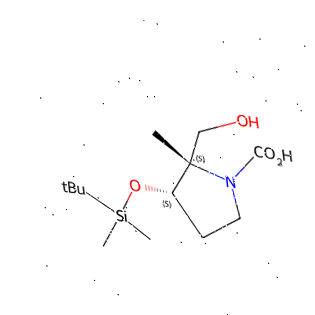 CC(C)(C)[Si](C)(C)O[C@H]1CCN(C(=O)O)[C@@]1(C)CO